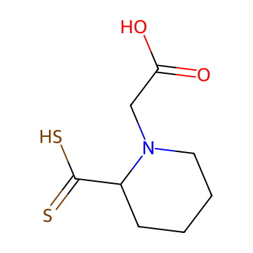 O=C(O)CN1CCCCC1C(=S)S